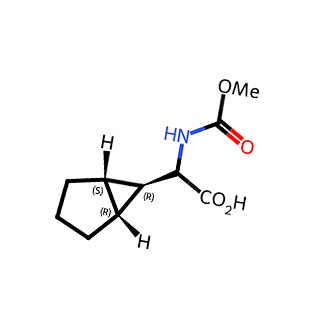 COC(=O)NC(C(=O)O)[C@H]1[C@@H]2CCC[C@@H]21